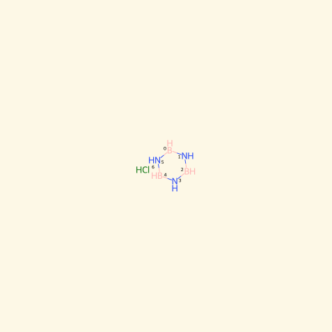 B1NBNBN1.Cl